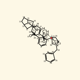 COc1cccc(C(=O)NC2CC3CCC(C2)N3c2ccc(C(=O)N[C@@H]3CCN(Cc4ccccc4)C3)cn2)c1C